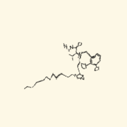 CCCCCCCCCCCCn1cncc1CCN(Cc1cccc(Cl)c1Cl)[C@H](C(N)=O)C(C)C